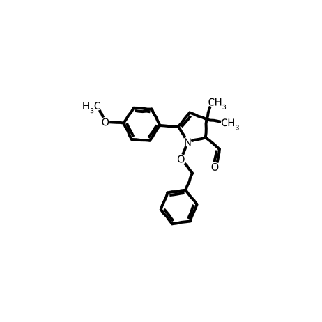 COc1ccc(C2=CC(C)(C)C(C=O)N2OCc2ccccc2)cc1